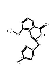 COc1cccc2c(=O)[nH]c(Cc3ccc(Cl)cc3)nc12